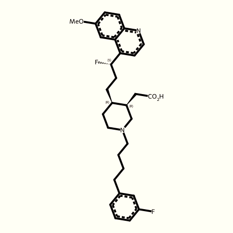 COc1ccc2nccc([C@@H](F)CC[C@@H]3CCN(CCCCc4cccc(F)c4)C[C@@H]3CC(=O)O)c2c1